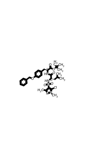 Cc1nn(C)c(Cl)c1S(=O)(=O)N[C@@H](CC(C)C)C(=O)N[C@@H](Cc1ccc(OCc2ccccc2)cc1)C(=O)OC(C)(C)C